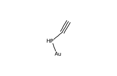 C#C[PH][Au]